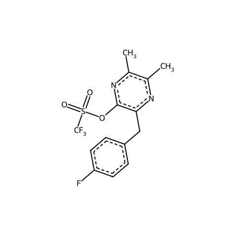 Cc1nc(Cc2ccc(F)cc2)c(OS(=O)(=O)C(F)(F)F)nc1C